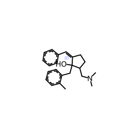 Cc1ccccc1CC1(O)/C(=C\c2ccccc2)CCC1CN(C)C